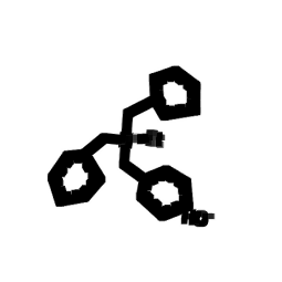 CC[N+](Cc1ccccc1)(Cc1ccccc1)Cc1ccccc1.[OH-]